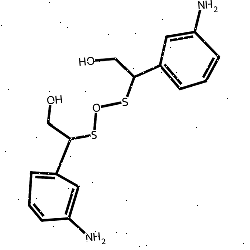 Nc1cccc(C(CO)SOSC(CO)c2cccc(N)c2)c1